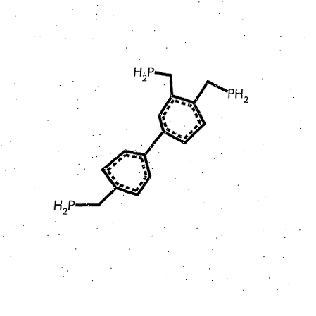 PCc1ccc(-c2ccc(CP)c(CP)c2)cc1